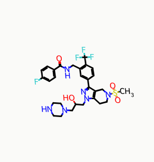 CS(=O)(=O)N1CCc2c(c(-c3ccc(C(F)(F)F)c(CNC(=O)c4ccc(F)cc4)c3)nn2CC(O)CN2CCNCC2)C1